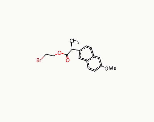 COc1ccc2cc([C@H](C)C(=O)OCCBr)ccc2c1